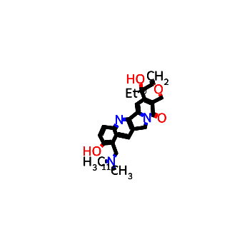 C=C1OCc2c(cc3n(c2=O)Cc2cc4c(CN(C)[11CH3])c(O)ccc4nc2-3)[C@@]1(O)CC